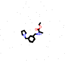 CCOC(=O)C(C)NCc1cccc(CN2CCCC2)c1